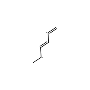 C=[C]/C=C/[CH]C